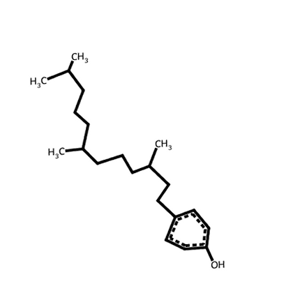 CC(C)CCCC(C)CCCC(C)CCc1ccc(O)cc1